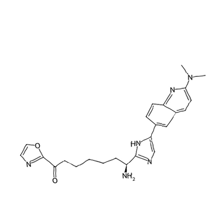 CN(C)c1ccc2cc(-c3cnc([C@@H](N)CCCCCC(=O)c4ncco4)[nH]3)ccc2n1